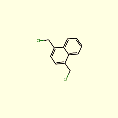 ClCc1ccc(CCl)c2ccccc12